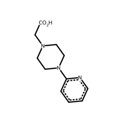 O=C(O)CN1CCN(c2ccccn2)CC1